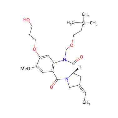 C/C=C1/C[C@H]2C(=O)N(COCC[Si](C)(C)C)c3cc(OCCCO)c(OC)cc3C(=O)N2C1